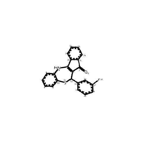 O=C1C2=C(Nc3ccccc3SC2c2cccc(F)c2)c2ccccc21